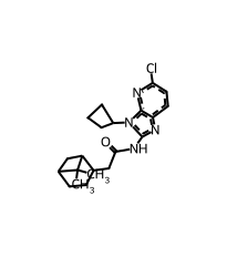 CC1(C)C2CCC(CC(=O)Nc3nc4ccc(Cl)nc4n3C3CCC3)C1C2